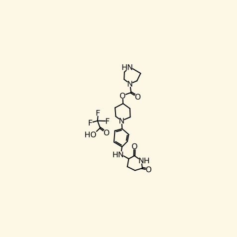 O=C(O)C(F)(F)F.O=C1CCC(Nc2ccc(N3CCC(OC(=O)N4CCNCC4)CC3)cc2)C(=O)N1